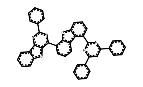 c1ccc(-c2cc(-c3ccccc3)nc(-c3cccc4oc5c(-c6nc(-c7ccccc7)nc7c6oc6ccccc67)cccc5c34)n2)cc1